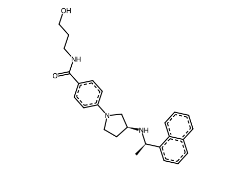 C[C@@H](N[C@H]1CCN(c2ccc(C(=O)NCCCO)cc2)C1)c1cccc2ccccc12